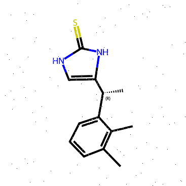 Cc1cccc([C@@H](C)c2c[nH]c(=S)[nH]2)c1C